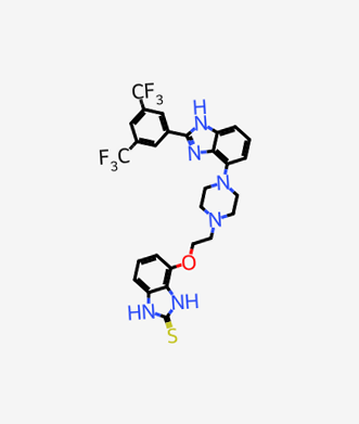 FC(F)(F)c1cc(-c2nc3c(N4CCN(CCOc5cccc6[nH]c(=S)[nH]c56)CC4)cccc3[nH]2)cc(C(F)(F)F)c1